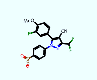 COc1ccc(-c2c(C#N)c(C(F)F)nn2-c2ccc([SH](=O)=O)cc2)cc1F